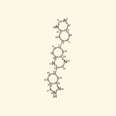 c1ncc2ccc(-c3ccc4nc(-c5ccc6c[nH]nc6c5)cnc4c3)cc2n1